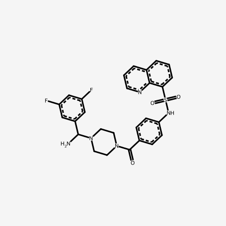 NC(c1cc(F)cc(F)c1)N1CCN(C(=O)c2ccc(NS(=O)(=O)c3cccc4cccnc34)cc2)CC1